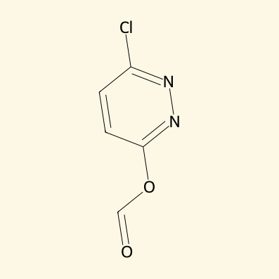 O=COc1ccc(Cl)nn1